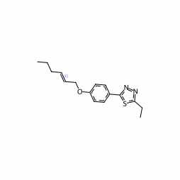 CCC/C=C/COc1ccc(-c2nnc(CC)s2)cc1